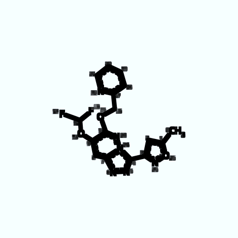 Cc1cc(-c2nnc3cc(OC(F)F)c(OCc4ccccn4)nn23)no1